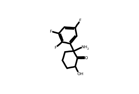 NC1(c2cc(F)cc(F)c2F)CCCC(O)C1=O